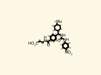 CC(C)(C)C1CCC(C(NC(=O)Nc2ccc([N+](=O)[O-])cc2)c2ccc(C(=O)NCCC(=O)O)cc2)CC1